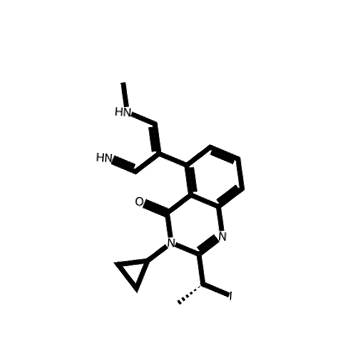 CN/C=C(\C=N)c1cccc2nc([C@@H](C)I)n(C3CC3)c(=O)c12